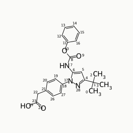 CC(C)(C)c1cc(NC(=O)Oc2ccccc2)n(-c2ccc(CC(=O)O)cc2)n1